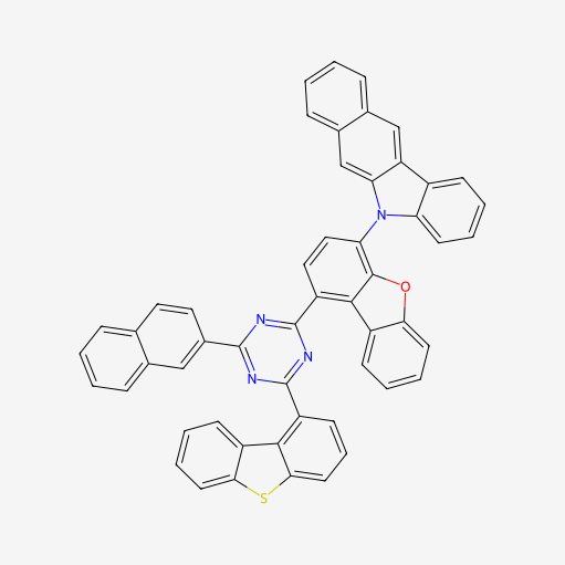 c1ccc2cc(-c3nc(-c4cccc5sc6ccccc6c45)nc(-c4ccc(-n5c6ccccc6c6cc7ccccc7cc65)c5oc6ccccc6c45)n3)ccc2c1